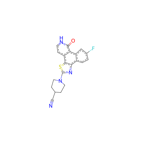 N#CC1CCN(c2nc3c4ccc(F)cc4c4c(=O)[nH]ccc4c3s2)CC1